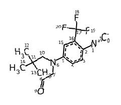 [C-]#[N+]c1ccc(N(CC=O)CC(C)(C)C)cc1C(F)(F)F